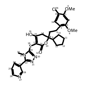 COc1cc(OC)c(CCC2(C3CCCC3)CC(O)=C(Sc3nnc(-c4cccnc4)n3C)C(=O)O2)cc1Cl